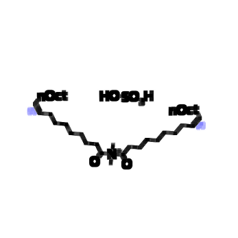 CCCCCCCC/C=C\CCCCCCCC(=O)[N+](C)(C)C(=O)CCCCCCC/C=C\CCCCCCCC.O=S(=O)(O)O